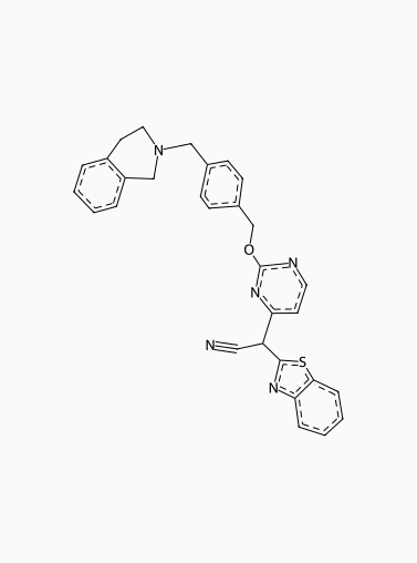 N#CC(c1ccnc(OCc2ccc(CN3CCc4ccccc4C3)cc2)n1)c1nc2ccccc2s1